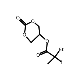 CCC(C)(I)C(=O)OC1COC(=O)OC1